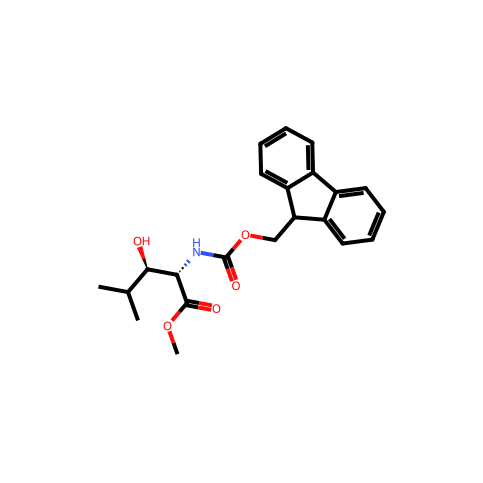 COC(=O)[C@@H](NC(=O)OCC1c2ccccc2-c2ccccc21)[C@H](O)C(C)C